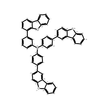 c1cc(-c2cccc3c2oc2ccccc23)cc(N(c2ccc(-c3ccc4oc5ccccc5c4c3)cc2)c2ccc(-c3ccc4sc5ccccc5c4c3)cc2)c1